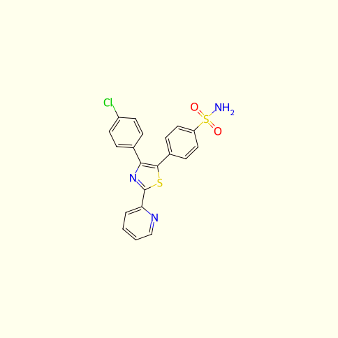 NS(=O)(=O)c1ccc(-c2sc(-c3ccccn3)nc2-c2ccc(Cl)cc2)cc1